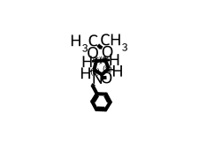 CC1(C)O[C@@H]2[C@H](O1)[C@@H]1C[C@H]2N(Cc2ccccc2)O1